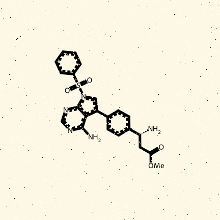 COC(=O)C[C@@H](N)c1ccc(-c2cn(S(=O)(=O)c3ccccc3)c3ncnc(N)c23)cc1